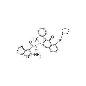 C[C@@H](NC(=O)c1c(N)nn2cccnc12)c1cc2cccc(C#CC3CCCC3)c2c(=O)n1-c1ccccc1